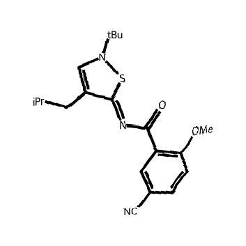 COc1ccc(C#N)cc1C(=O)/N=c1\sn(C(C)(C)C)cc1CC(C)C